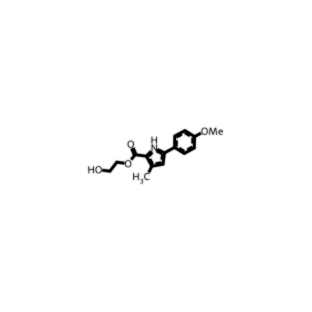 COc1ccc(-c2cc(C)c(C(=O)OCCO)[nH]2)cc1